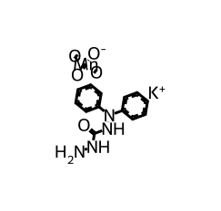 NNC(=O)NN(c1ccccc1)c1ccccc1.[K+].[O]=[Mn](=[O])(=[O])[O-]